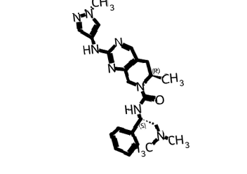 C[C@@H]1Cc2cnc(Nc3cnn(C)c3)nc2CN1C(=O)N[C@H](CN(C)C)c1ccccc1